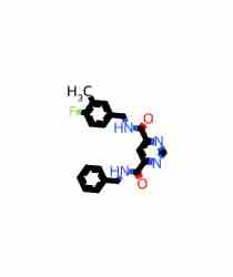 Cc1cc(CNC(=O)c2cc(C(=O)NCc3ccccc3)ncn2)ccc1F